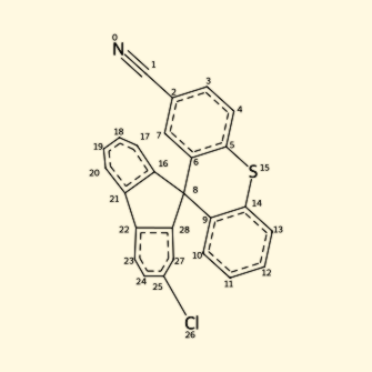 N#Cc1ccc2c(c1)C1(c3ccccc3S2)c2ccccc2-c2ccc(Cl)cc21